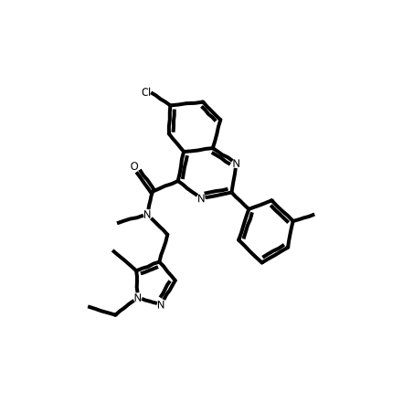 CCn1ncc(CN(C)C(=O)c2nc(-c3cccc(C)c3)nc3ccc(Cl)cc23)c1C